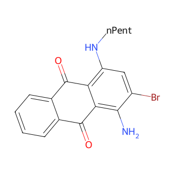 CCCCCNc1cc(Br)c(N)c2c1C(=O)c1ccccc1C2=O